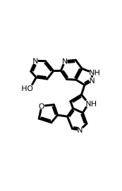 Oc1cncc(-c2cc3c(-c4cc5c(-c6ccoc6)cncc5[nH]4)n[nH]c3cn2)c1